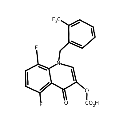 O=C(O)Oc1cn(Cc2ccccc2C(F)(F)F)c2c(F)ccc(F)c2c1=O